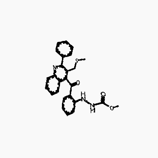 COC(=O)NNc1ccccc1C(=O)c1c(CSC)c(-c2ccccc2)nc2ccccc12